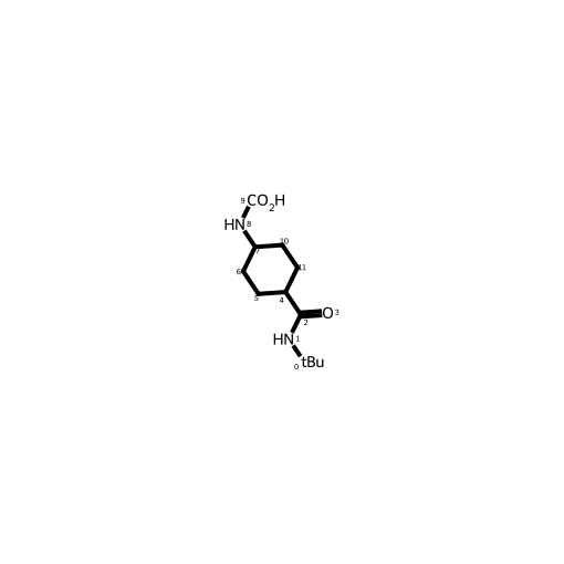 CC(C)(C)NC(=O)C1CCC(NC(=O)O)CC1